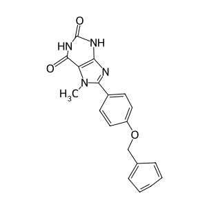 Cn1c(-c2ccc(OCc3ccccc3)cc2)nc2[nH]c(=O)[nH]c(=O)c21